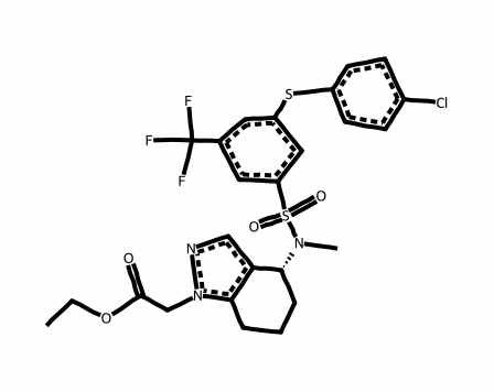 CCOC(=O)Cn1ncc2c1CCC[C@H]2N(C)S(=O)(=O)c1cc(Sc2ccc(Cl)cc2)cc(C(F)(F)F)c1